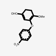 COC1=C(Oc2ccc([N+](=O)[O-])cc2)C=C(C=O)CC1